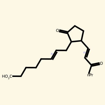 CCCC(=O)/C=C/C1CCC(=O)C1C/C=C/CCCCC(=O)O